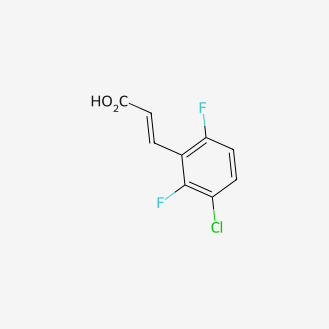 O=C(O)C=Cc1c(F)ccc(Cl)c1F